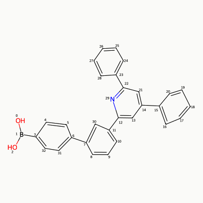 OB(O)c1ccc(-c2cccc(-c3cc(-c4ccccc4)cc(-c4ccccc4)n3)c2)cc1